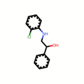 OC(CNc1ccccc1Cl)c1ccccc1